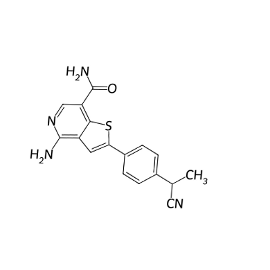 CC(C#N)c1ccc(-c2cc3c(N)ncc(C(N)=O)c3s2)cc1